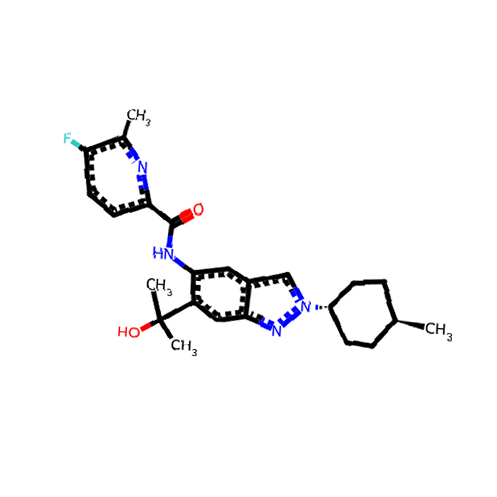 Cc1nc(C(=O)Nc2cc3cn([C@H]4CC[C@H](C)CC4)nc3cc2C(C)(C)O)ccc1F